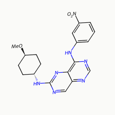 CO[C@H]1CC[C@H](Nc2ncc3ncnc(Nc4cccc([N+](=O)[O-])c4)c3n2)CC1